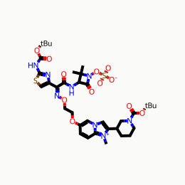 C[n+]1c(C2CCCN(C(=O)OC(C)(C)C)C2)cn2cc(OCCO/N=C(\C(=O)NC3C(=O)N(OS(=O)(=O)[O-])C3(C)C)c3csc(NC(=O)OC(C)(C)C)n3)ccc21